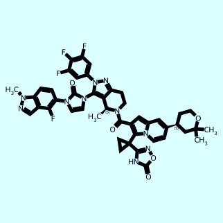 C[C@H]1c2c(nn(-c3cc(F)c(F)c(F)c3)c2-n2ccn(-c3ccc4c(cnn4C)c3F)c2=O)CCN1C(=O)c1cc2cc([C@H]3CCOC(C)(C)C3)ccn2c1C1(c2noc(=O)[nH]2)CC1